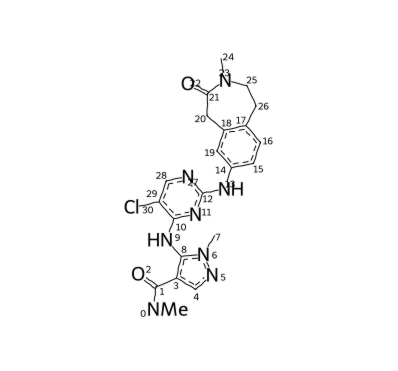 CNC(=O)c1cnn(C)c1Nc1nc(Nc2ccc3c(c2)CC(=O)N(C)CC3)ncc1Cl